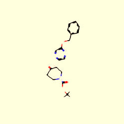 CC(C)(C)OC(=O)N1CCC(=O)[C@H](c2cnc(OCc3ccccc3)cn2)C1